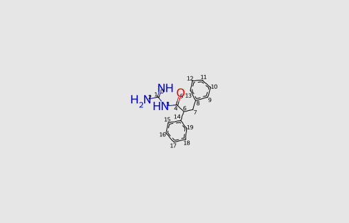 N=C(N)NC(=O)C(Cc1ccccc1)c1ccccc1